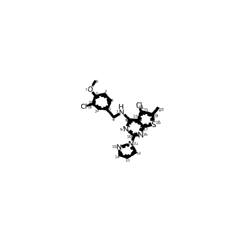 COc1ccc(CNc2nc(-n3cccn3)nc3sc(C)c(Cl)c23)cc1Cl